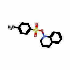 Cc1ccc(S(=O)(=O)ON2CC=Cc3ccccc32)cc1